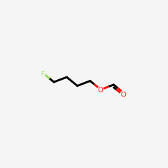 O=COCCCCF